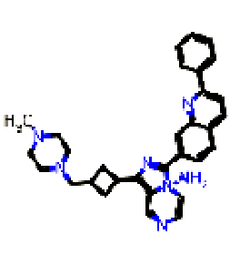 CN1CCN(CC2CC(C3=C4C=NC=C[N+]4(N)C(c4ccc5ccc(-c6ccccc6)nc5c4)=N3)C2)CC1